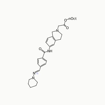 CCCCCCCCOC(=O)CN1CCc2cc(NC(=O)c3ccc(/C=N/N4CCCCC4)cc3)ccc2C1